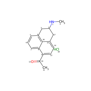 CNC1Cc2cccc3c(C(C)=O)ccc(c23)C1.Cl